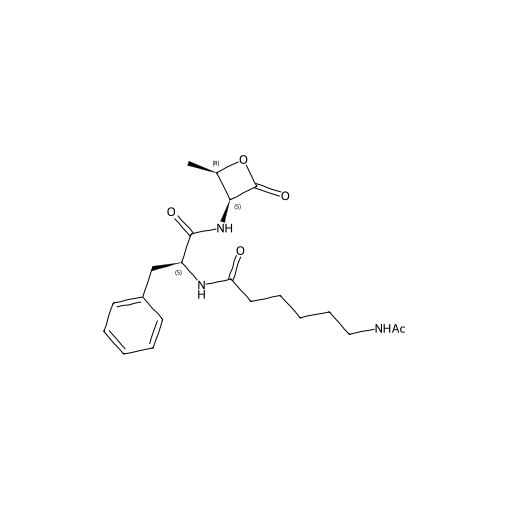 CC(=O)NCCCCCC(=O)N[C@@H](Cc1ccccc1)C(=O)N[C@@H]1C(=O)O[C@@H]1C